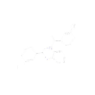 CC(c1cccc(C(F)(F)F)c1)N1CC(c2cccc(C(F)(F)F)c2)Nc2ccccc21